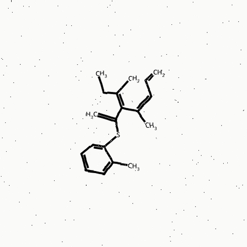 C=C/C=C(C)\C(C(=C)Sc1ccccc1C)=C(/C)CC